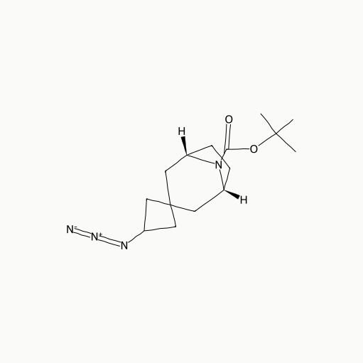 CC(C)(C)OC(=O)N1[C@@H]2CC[C@H]1CC1(CC(N=[N+]=[N-])C1)C2